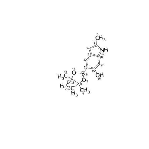 Cc1cc2cc(B3OC(C)(C)C(C)(C)O3)c(O)cc2[nH]1